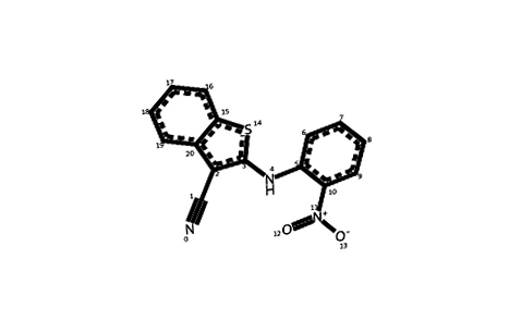 N#Cc1c(Nc2ccccc2[N+](=O)[O-])sc2ccccc12